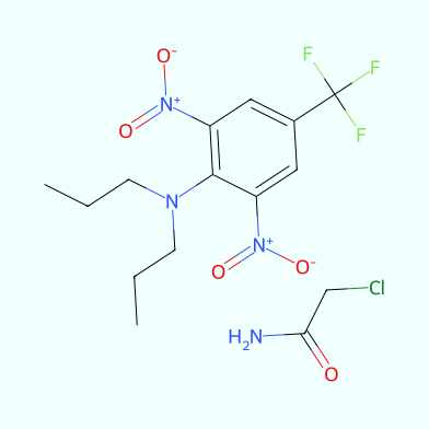 CCCN(CCC)c1c([N+](=O)[O-])cc(C(F)(F)F)cc1[N+](=O)[O-].NC(=O)CCl